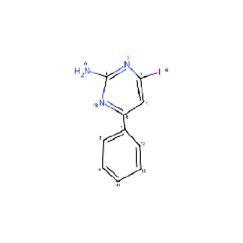 Nc1nc(I)cc(-c2ccccc2)n1